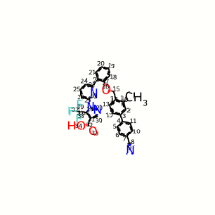 Cc1cc(-c2ccc(C#N)cc2)ccc1COc1ccccc1-c1cccc(-n2ncc(C(=O)O)c2C(F)(F)F)n1